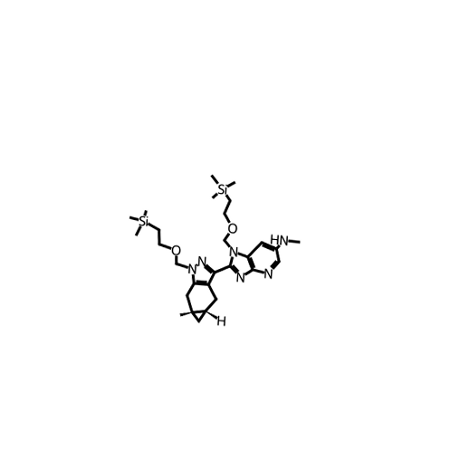 CNc1cnc2nc(-c3nn(COCC[Si](C)(C)C)c4c3C[C@@H]3C[C@]3(C)C4)n(COCC[Si](C)(C)C)c2c1